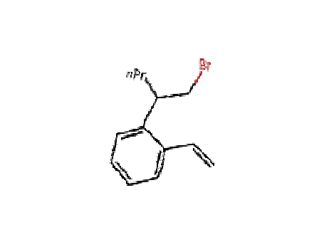 C=Cc1ccccc1C(CBr)CCC